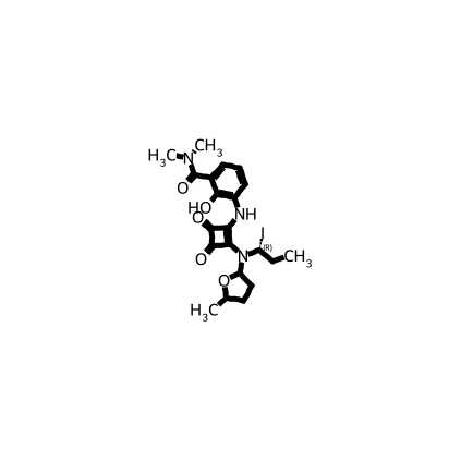 CC[C@@H](I)N(c1c(Nc2cccc(C(=O)N(C)C)c2O)c(=O)c1=O)C1CCC(C)O1